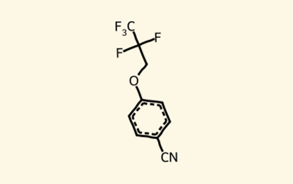 N#Cc1ccc(OCC(F)(F)C(F)(F)F)cc1